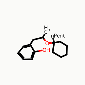 CCCCCC1(OC(C)Cc2ccccc2O)CCCCC1